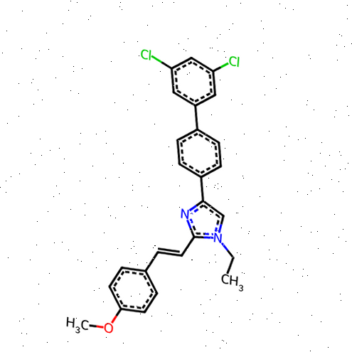 CCn1cc(-c2ccc(-c3cc(Cl)cc(Cl)c3)cc2)nc1C=Cc1ccc(OC)cc1